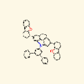 c1ccc(-c2cc(-c3ccccc3)cc(-n3c4cc(-c5cccc6c5oc5ccccc56)cc5c4c4c(cc(-c6cccc7c6oc6ccccc67)cc43)CC5)c2)cc1